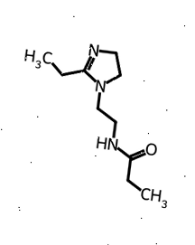 CCC(=O)NCCN1CCN=C1CC